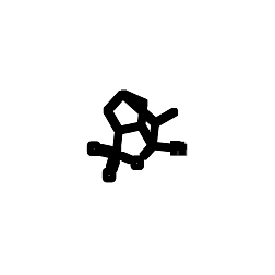 CCC12OS(=O)(=O)C3CC(CC31)C2C